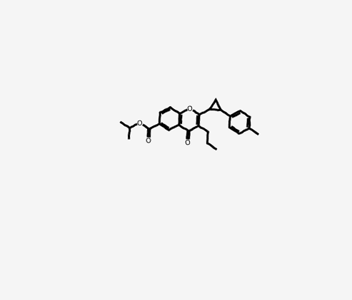 CCCc1c(C2CC2c2ccc(C)cc2)oc2ccc(C(=O)OC(C)C)cc2c1=O